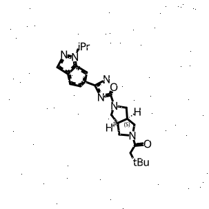 CC(C)n1ncc2ccc(-c3noc(N4C[C@H]5CN(C(=O)CC(C)(C)C)C[C@H]5C4)n3)cc21